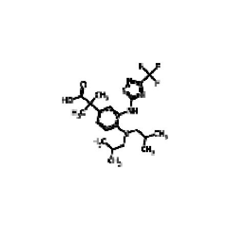 CC(C)CN(CC(C)C)c1ccc(C(C)(C)C(=O)O)cc1Nc1nc(C(F)(F)F)ns1